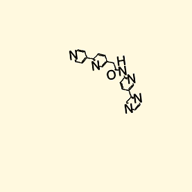 O=C(Cc1ccc(-c2ccncc2)nc1)Nc1ccc(-c2cnccn2)cn1